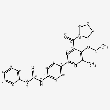 CCOc1c(N)nc(-c2ccc(NC(=O)Nc3ccccc3)cc2)nc1C(=O)N1CCCC1